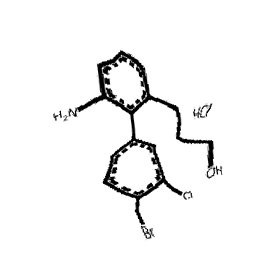 Cl.Nc1cccc(CCCO)c1-c1ccc(Br)c(Cl)c1